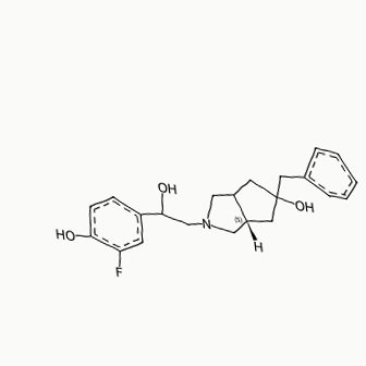 Oc1ccc(C(O)CN2CC3CC(O)(Cc4ccccc4)C[C@@H]3C2)cc1F